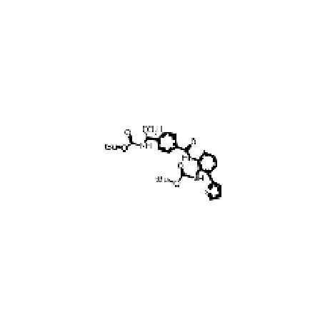 CC(C)(C)OC(=O)Nc1c(NC(=O)c2ccc([C@H](NC(=O)OC(C)(C)C)C(=O)O)cc2)cccc1-c1cccs1